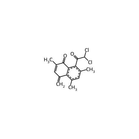 C=C1C=C(C)C(=O)c2c1c(C)cc(C)c2C(=O)C(Cl)Cl